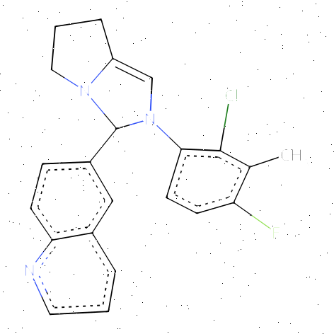 Cc1c(F)ccc(N2C=C3CCCN3C2c2ccc3ncccc3c2)c1Cl